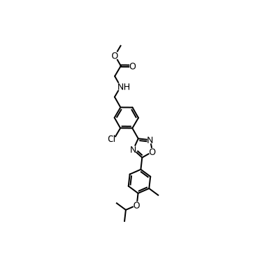 COC(=O)CNCc1ccc(-c2noc(-c3ccc(OC(C)C)c(C)c3)n2)c(Cl)c1